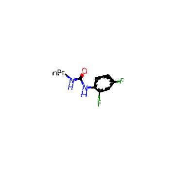 CCCNC(=O)Nc1ccc(F)cc1F